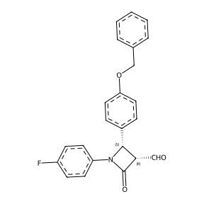 O=C[C@@H]1C(=O)N(c2ccc(F)cc2)[C@@H]1c1ccc(OCc2ccccc2)cc1